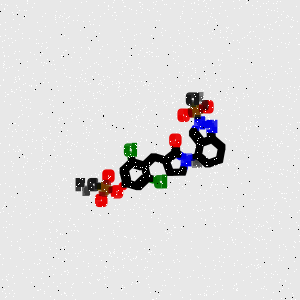 O=C1C(Cc2c(Cl)cc(OS(=O)(=O)C(F)(F)F)cc2Cl)CCN1[C@@H]1CCCc2nn(S(=O)(=O)C(F)(F)F)cc21